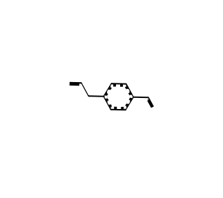 [CH]=CCc1ccc(C=C)cc1